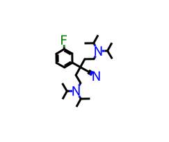 CC(C)N(CCC(C#N)(CCN(C(C)C)C(C)C)c1cccc(F)c1)C(C)C